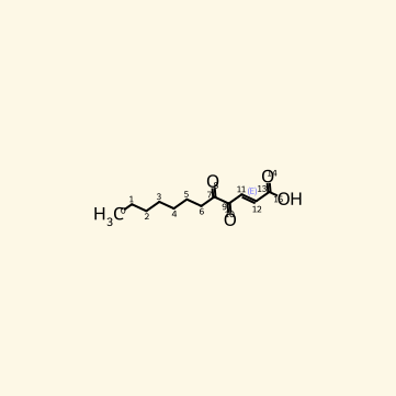 CCCCCCCC(=O)C(=O)/C=C/C(=O)O